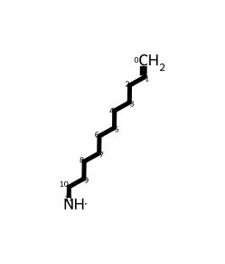 C=CCCCCCCCCC[NH]